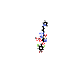 COC(=O)Oc1c(OCc2c(F)cc(Br)cc2F)nsc1NC(=O)NCCCCN1CCCC1